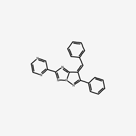 C(/c1ccccc1)=c1\c(-c2ccccc2)nn2nc(-c3cnccn3)nc12